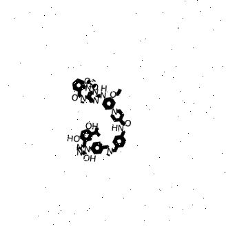 CCOc1cc(N2CCC(C(=O)NCc3ccc(CN(C)Cc4ccc(-n5c(O)nnc5-c5cc(C(C)C)c(O)cc5O)cc4)cc3)CC2)ccc1Nc1ncc2c(n1)N(S(C)(=O)=O)c1ccccc1C(=O)N2C